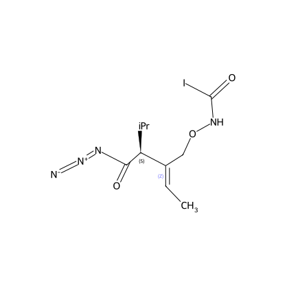 C/C=C(\CONC(=O)I)[C@@H](C(=O)N=[N+]=[N-])C(C)C